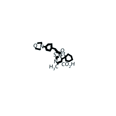 CCC1(C2C(C(=O)O)=C(C)N=c3s/c(=C\c4ccc(N5CCOCC5)cc4)c(=O)n32)CCCCC1